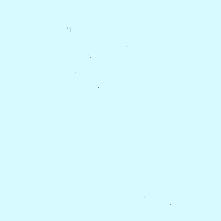 COc1nc(O[C@H]2CCc3c(-c4cccc(-c5nc6c(=N)n(CCN7CC(O)C7)cc(C#N)c6o5)c4Cl)cccc32)c(Cl)cc1CN1CC[C@@H](O)C1